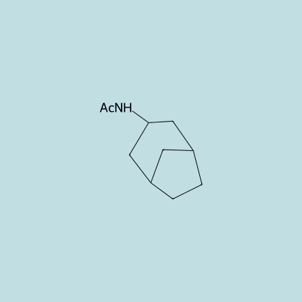 CC(=O)NC1CC2CCC(C2)C1